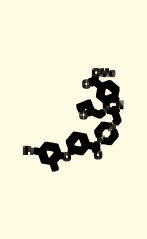 COC(=O)c1ccc2nc(CN3CCN(C(=O)c4cccc(Oc5ccc(C(C)C)cc5C)c4)CC3)n(CC3CCO3)c2c1